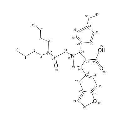 CCCCN(CCCC)C(=O)CN1CC(C2=CC=C3OCC=C3C2)[C@H](C(=O)O)[C@H]1c1ccc(CC)cc1